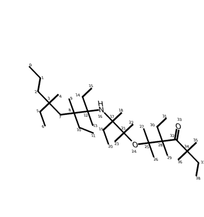 CCCC(C)(CC)CC(C)(CC)C(C)(CC)NC(C)(CC)C(C)(C)OC(C)(C)C(C)(CC)C(=O)C(C)(C)CC